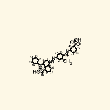 Cc1cc(N=Nc2ccc(Nc3ccccc3)c3c(S(=O)(=O)O)cccc23)ccc1N=Nc1cccc(S(=O)(=O)O)c1